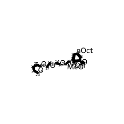 CCCCCCCCC1=CC(C(=O)OC)C(O)(OCCOCCOCCOC2CCCCO2)C=C1